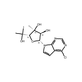 CC(O)(I)[C@H]1O[C@@H](n2ccc3c(Cl)ncnc32)[C@H](O)[C@]1(C)O